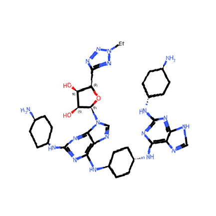 CCn1nnc([C@H]2O[C@@H](n3cnc4c(N[C@H]5CC[C@H](Nc6nc(N[C@H]7CC[C@H](N)CC7)nc7[nH]cnc67)CC5)nc(N[C@H]5CC[C@H](N)CC5)nc43)[C@@H](O)[C@H]2O)n1